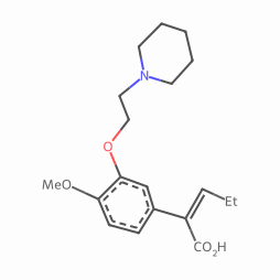 CCC=C(C(=O)O)c1ccc(OC)c(OCCN2CCCCC2)c1